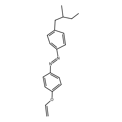 C=COc1ccc(N=Nc2ccc(CC(C)CC)cc2)cc1